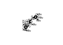 CCCCOc1cc(C(=O)NC[C@H]2O[C@@H](OCCCC)[C@]3(CNC(=O)c4cc(OCCCC)c(OCCCC)c(OCCCC)c4)OC(C)(C)O[C@H]23)cc(OCCCC)c1OCCCC